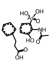 CC(=O)Nc1c(O)cccc1[As](=O)(O)O.O=C(O)CCc1ccccc1